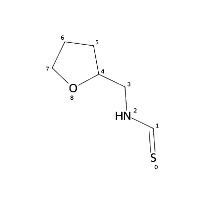 S=CNCC1CCCO1